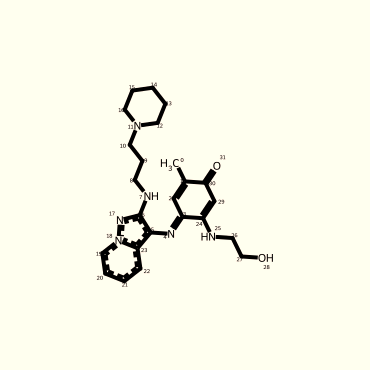 CC1=C/C(=N\c2c(NCCCN3CCCCC3)nn3ccccc23)C(NCCO)=CC1=O